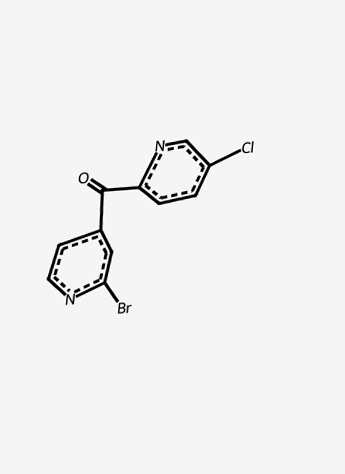 O=C(c1ccnc(Br)c1)c1ccc(Cl)cn1